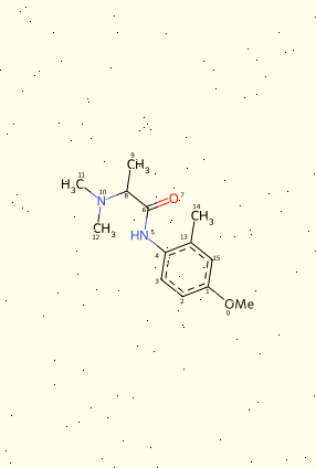 COc1ccc(NC(=O)C(C)N(C)C)c(C)c1